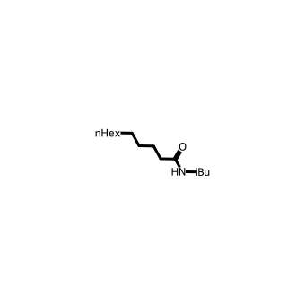 [CH2]CCCCCCCCCC(=O)NC(C)CC